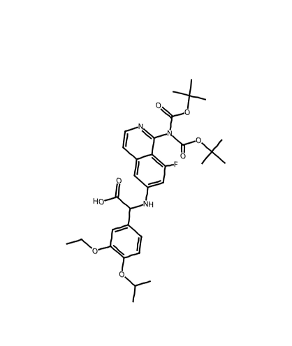 CCOc1cc(C(Nc2cc(F)c3c(N(C(=O)OC(C)(C)C)C(=O)OC(C)(C)C)nccc3c2)C(=O)O)ccc1OC(C)C